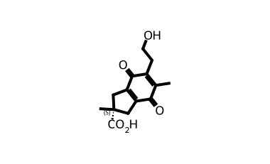 CC1=C(CCO)C(=O)C2=C(C[C@](C)(C(=O)O)C2)C1=O